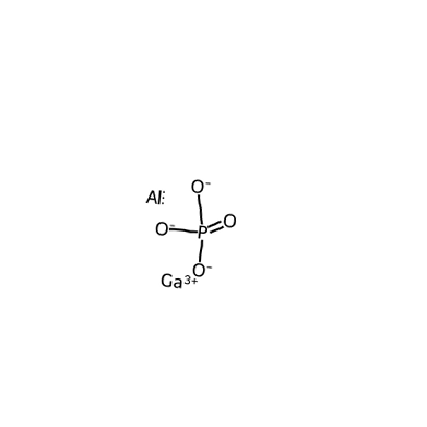 O=P([O-])([O-])[O-].[Al].[Ga+3]